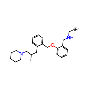 CC(C)CNCc1ccccc1OCc1ccccc1CC(C)CN1CCCCC1